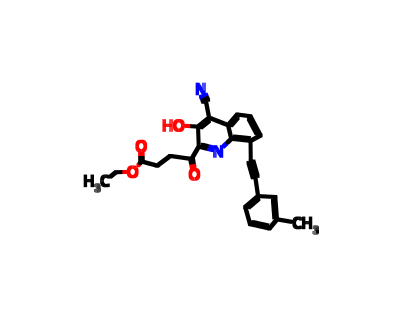 CCOC(=O)CCC(=O)c1nc2c(C#Cc3cccc(C)c3)cccc2c(C#N)c1O